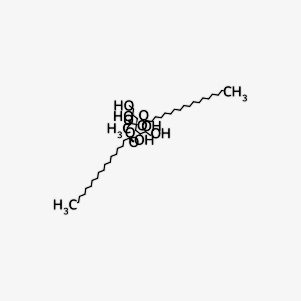 CCCCCCCCCCCCCCCCCC(=O)O[C@@H]([C@H](O)[C@H](O)CO)[C@@](C[C@H](O)CO)(OC(=O)CCCCCCCCCCCCCCCCC)C(C)=O